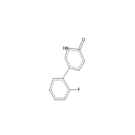 O=c1ccc(-c2ccccc2F)c[nH]1